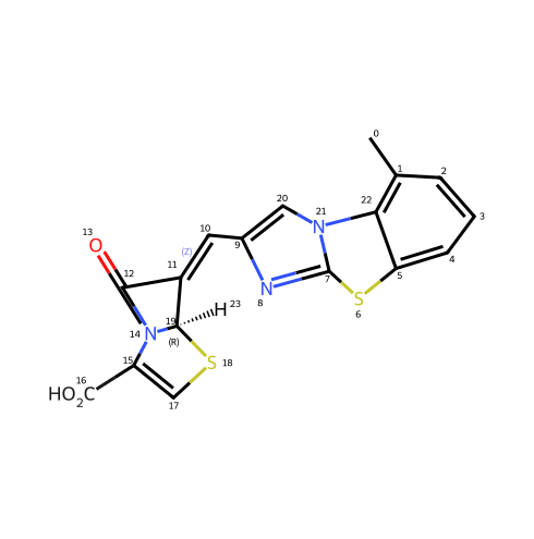 Cc1cccc2sc3nc(/C=C4/C(=O)N5C(C(=O)O)=CS[C@H]45)cn3c12